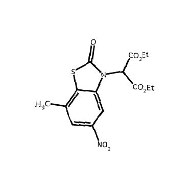 CCOC(=O)C(C(=O)OCC)n1c(=O)sc2c(C)cc([N+](=O)[O-])cc21